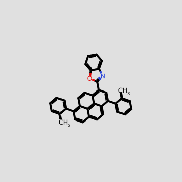 Cc1ccccc1-c1ccc2ccc3c(-c4ccccc4C)cc(-c4nc5ccccc5o4)c4ccc1c2c43